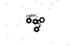 NNc1ccccc1.c1ccc(Cn2c3c(c4ccccc42)CCCC3)cc1